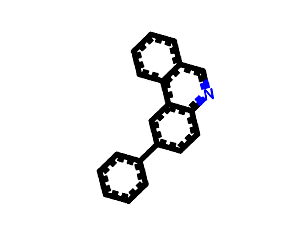 c1ccc(-c2ccc3ncc4ccccc4c3c2)cc1